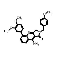 COc1ccc(CN2Cc3nc4c(-c5ccc(OC)c(OC)c5)cccc4c(N)c3C2=O)cc1